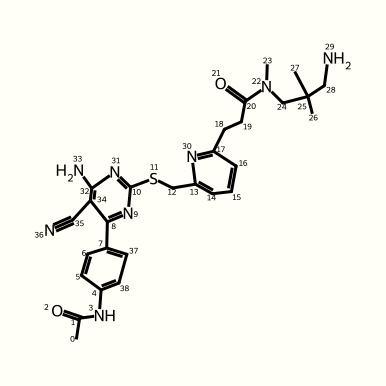 CC(=O)Nc1ccc(-c2nc(SCc3cccc(CCC(=O)N(C)CC(C)(C)CN)n3)nc(N)c2C#N)cc1